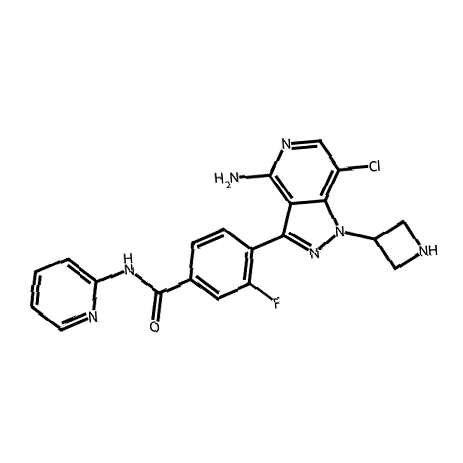 Nc1ncc(Cl)c2c1c(-c1ccc(C(=O)Nc3ccccn3)cc1F)nn2C1CNC1